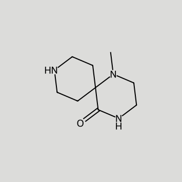 CN1CCNC(=O)C12CCNCC2